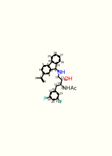 C=C(C)c1ccc2c(c1)C(NC[C@H](O)[C@H](Cc1cc(F)cc(F)c1)NC(C)=O)c1ccccc1-2